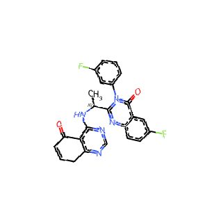 C[C@H](Nc1ncnc2c1C(=O)C=CC2)c1nc2ccc(F)cc2c(=O)n1-c1cccc(F)c1